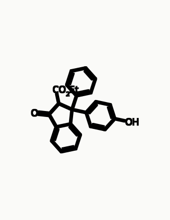 CCOC(=O)C1C(=O)c2ccccc2C1(c1ccccc1)c1ccc(O)cc1